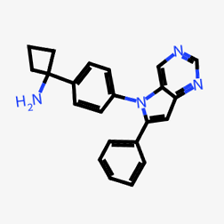 NC1(c2ccc(-n3c(-c4ccccc4)cc4ncncc43)cc2)CCC1